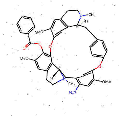 COc1cc(N)c2cc1Oc1ccc(cc1)C[C@H]1c3cc(c(OC)cc3CCN1C)Oc1c(OC(=O)c3ccccc3)c(OC)cc3c1[C@H](C2)N(C)CC3